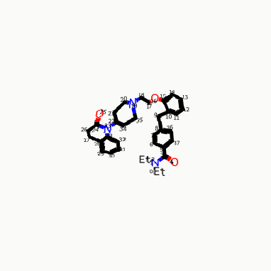 CCN(CC)C(=O)c1ccc(Cc2ccccc2OCCN2CCC(N3C(=O)CCc4ccccc43)CC2)cc1